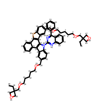 CCC1(COCCCCCOCc2ccc3sc4c5ccccc5c5c6cc(COCCCCCOCC7(CC)COC7)ccc6n(-c6nc(-c7ccccc7)c7ccccc7n6)c5c4c3c2)COC1